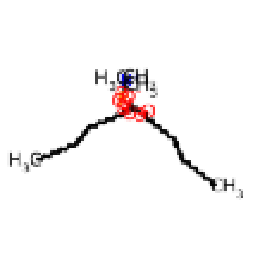 CCCCCCCCCCC#CC#CCCCCCCCCC(=O)OC[C@H](COP(=O)([O-])OCC[N+](C)(C)C)OC(=O)CCCCCCCCC#CC#CCCCCCCCCCC